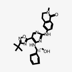 CN1CCc2cc(Nc3ncc(-c4nc(C(C)(C)C)no4)c(N[C@H](CO)c4ccccc4)n3)ccc2C1=O